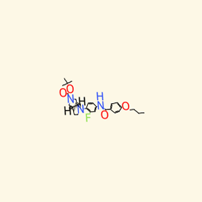 CCCCOc1ccc(C(=O)Nc2ccc(N3CC[C@@H]4CN(C(=O)OC(C)(C)C)C[C@@H]43)c(F)c2)cc1